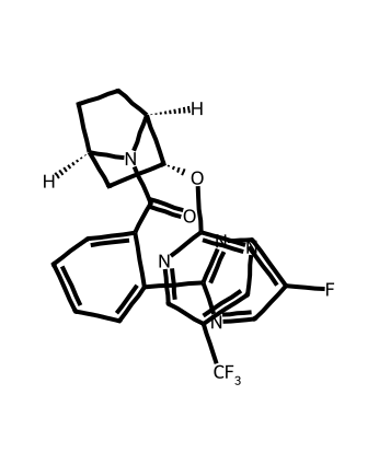 O=C(c1ccccc1-c1ncc(F)cn1)N1[C@@H]2CC[C@H]1[C@H](Oc1ncc(C(F)(F)F)cn1)C2